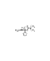 C=C(C)C(=O)OC(C)(C#CC)C1C=CCC1